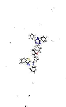 C1=CCCC(c2nc(-c3cccc(-c4cccc5c4oc4ccc(-c6nc(-c7ccccc7)nc(-c7ccccc7)n6)cc45)c3)c3sc4ccccc4c3n2)=C1